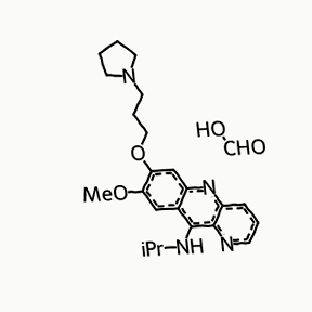 COc1cc2c(NC(C)C)c3ncccc3nc2cc1OCCCN1CCCC1.O=CO